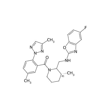 Cc1ccc(-n2ncc(C)n2)c(C(=O)N2CCC[C@@H](C)C2CNc2nc3cc(F)ccc3o2)c1